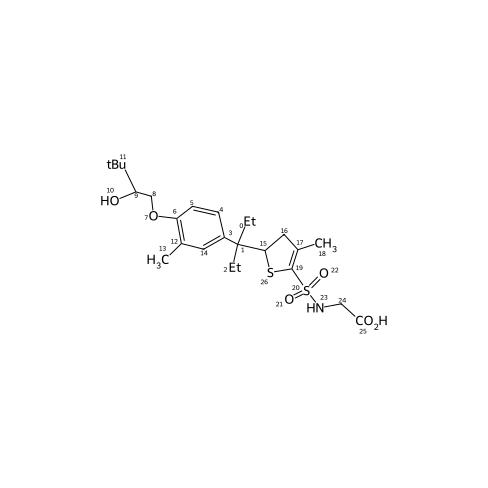 CCC(CC)(c1ccc(OCC(O)C(C)(C)C)c(C)c1)C1CC(C)=C(S(=O)(=O)NCC(=O)O)S1